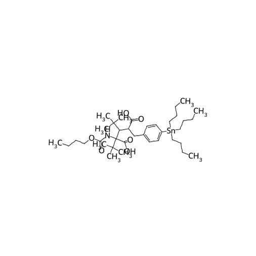 CCCCOC(=O)NC(C(=O)O)(C(C(Cc1cc[c]([Sn]([CH2]CCC)([CH2]CCC)[CH2]CCC)cc1)C(=O)O)C(C)(C)C)C(C)(C)C